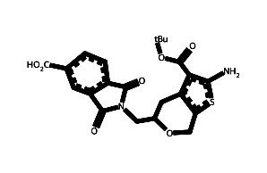 CC(C)(C)OC(=O)c1c(N)sc2c1CC(CN1C(=O)c3ccc(C(=O)O)cc3C1=O)OC2